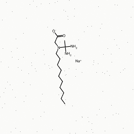 CCCCCCCCCCN(CC(=O)[O-])C(C)(N)N.[Na+]